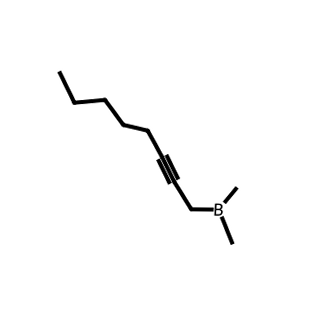 CCCCCC#CCB(C)C